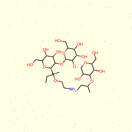 CCC(C)OC1C(O)[C@H](OC2C(O)[C@H](O)C(CO)O[C@@H]2OC2C(O)[C@H](O)C(CO)O[C@@H]2C(C)(CC)OCCN)OC(CO)[C@H]1O